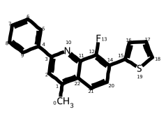 Cc1cc(-c2ccccc2)nc2c(F)c(-c3cccs3)ccc12